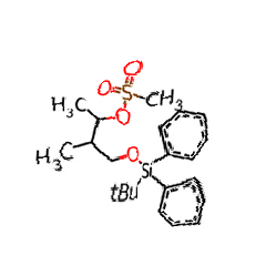 CC(CO[Si](c1ccccc1)(c1ccccc1)C(C)(C)C)C(C)OS(C)(=O)=O